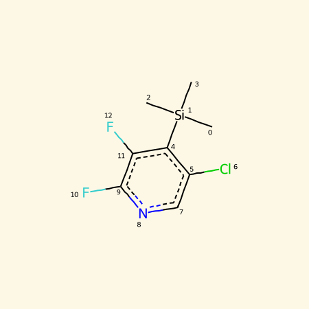 C[Si](C)(C)c1c(Cl)cnc(F)c1F